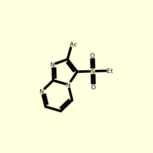 CCS(=O)(=O)c1c(C(C)=O)nc2ncccn12